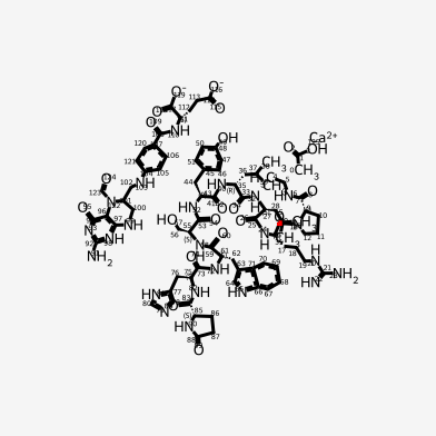 CC(=O)O.CCNC(=O)[C@@H]1CCCN1C(=O)[C@H](CCCNC(=N)N)NC(=O)[C@H](CC(C)C)NC(=O)[C@@H](CC(C)C)NC(=O)[C@H](Cc1ccc(O)cc1)NC(=O)[C@H](CO)NC(=O)[C@H](Cc1c[nH]c2ccccc12)NC(=O)[C@H](Cc1cnc[nH]1)NC(=O)[C@@H]1CCC(=O)N1.Nc1nc(=O)c2c([nH]1)NCC(CNc1ccc(C(=O)N[C@@H](CCC(=O)[O-])C(=O)[O-])cc1)N2C=O.[Ca+2]